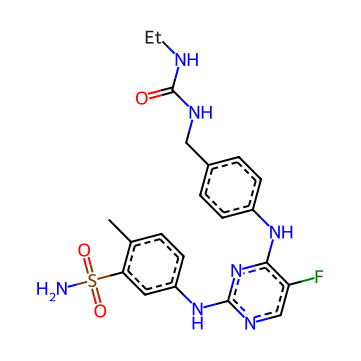 CCNC(=O)NCc1ccc(Nc2nc(Nc3ccc(C)c(S(N)(=O)=O)c3)ncc2F)cc1